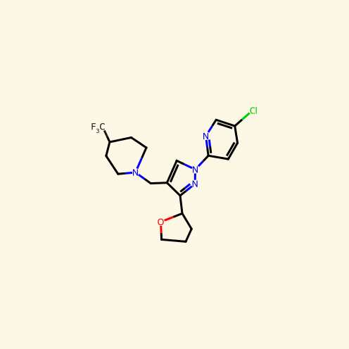 FC(F)(F)C1CCN(Cc2cn(-c3ccc(Cl)cn3)nc2C2CCCO2)CC1